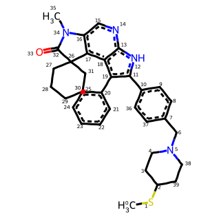 CSC1CCN(Cc2ccc(-c3[nH]c4ncc5c(c4c3-c3ccccc3)C3(CCCCC3)C(=O)N5C)cc2)CC1